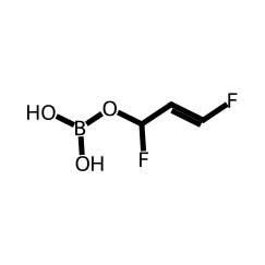 OB(O)OC(F)C=CF